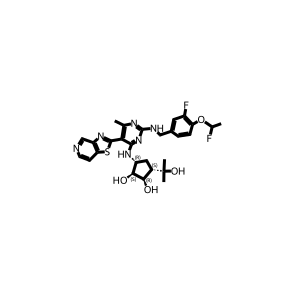 Cc1nc(NCc2ccc(OC(C)F)c(F)c2)nc(N[C@@H]2C[C@H](C(C)(C)O)[C@@H](O)[C@H]2O)c1-c1nc2cnccc2s1